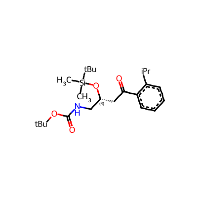 CC(C)c1ccccc1C(=O)C[C@H](CNC(=O)OC(C)(C)C)O[Si](C)(C)C(C)(C)C